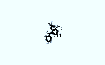 Nc1cc(Cl)cc(C(=O)c2ccccc2)c1CC(F)(F)F